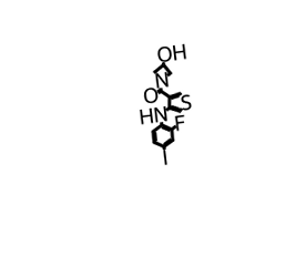 O=C(c1cscc1Nc1ccc(I)cc1F)N1CC(O)C1